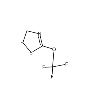 FC(F)(F)OC1=NC[CH]S1